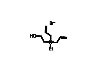 C=CC[N+](CC)(CC=C)CCO.[Br-]